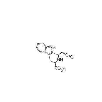 O=C=C[C@H]1NC(C(=O)O)Cc2c1[nH]c1ccccc21